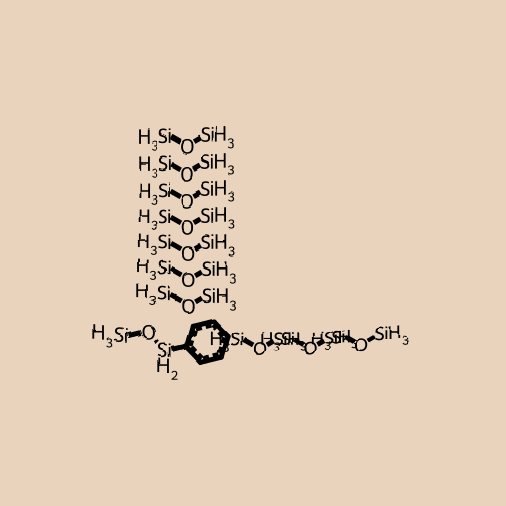 [SiH3]O[SiH2]c1ccccc1.[SiH3]O[SiH3].[SiH3]O[SiH3].[SiH3]O[SiH3].[SiH3]O[SiH3].[SiH3]O[SiH3].[SiH3]O[SiH3].[SiH3]O[SiH3].[SiH3]O[SiH3].[SiH3]O[SiH3].[SiH3]O[SiH3]